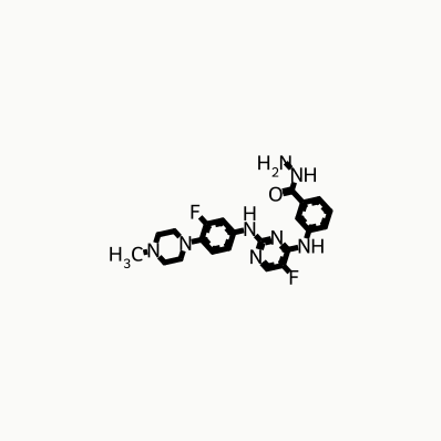 CN1CCN(c2ccc(Nc3ncc(F)c(Nc4cccc(C(=O)NN)c4)n3)cc2F)CC1